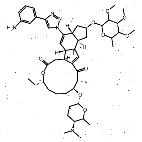 CC[C@H]1CCC[C@H](O[C@H]2CC[C@H](N(C)C)C(C)O2)[C@@H](C)C(=O)C2=C[C@@H]3[C@@H](C=C(n4cc(-c5cccc(N)c5)nn4)[C@@H]4C[C@@H](OC5OC(C)C(OC)C(OC)C5OC)C[C@@H]34)[C@@H]2CC(=O)O1